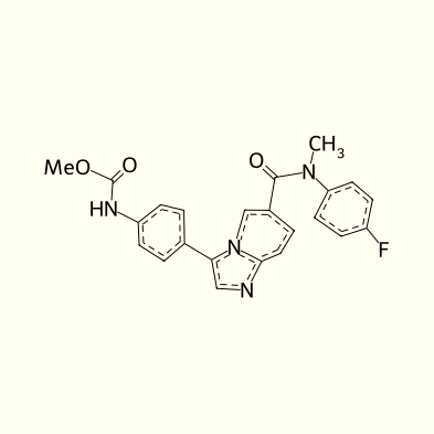 COC(=O)Nc1ccc(-c2cnc3ccc(C(=O)N(C)c4ccc(F)cc4)cn23)cc1